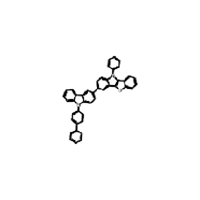 c1ccc(-c2ccc(-n3c4ccccc4c4cc(-c5ccc6c(c5)c5oc7ccccc7c5n6-c5ccccc5)ccc43)cc2)cc1